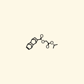 CC(C)OC(=O)COC(=O)C1CC2CC1C1C3C=CC(C3)C21